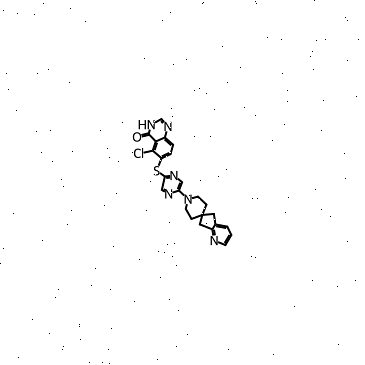 O=c1[nH]cnc2ccc(Sc3cnc(N4CCC5(CC4)Cc4cccnc4C5)cn3)c(Cl)c12